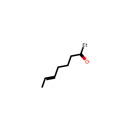 CC=CCCCC(=O)CC